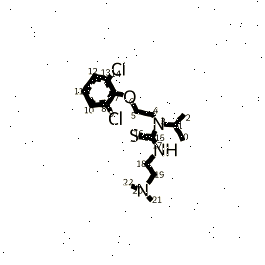 CC(C)N(CCOc1c(Cl)cccc1Cl)C(=S)NCCN(C)C